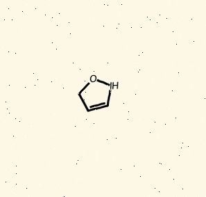 C1=C[IH]OC1